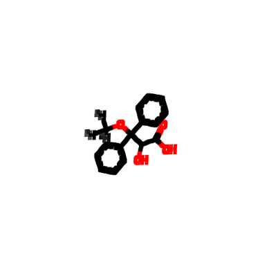 [2H]C([2H])([2H])OC(c1ccccc1)(c1ccccc1)C(O)C(=O)O